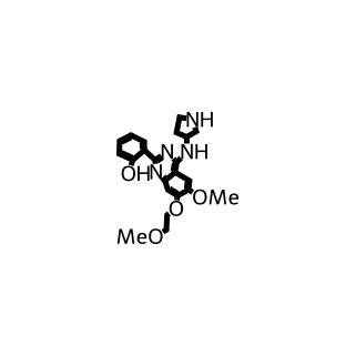 COCCOc1cc2nc(-c3ccccc3O)nc(NC3CCNC3)c2cc1OC